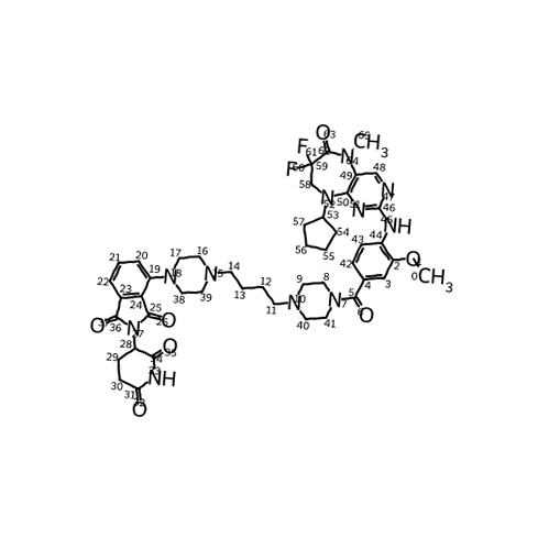 COc1cc(C(=O)N2CCN(CCCCN3CCN(c4cccc5c4C(=O)N(C4CCC(=O)NC4=O)C5=O)CC3)CC2)ccc1Nc1ncc2c(n1)N(C1CCCC1)CC(F)(F)C(=O)N2C